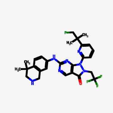 CC(C)(CF)c1cccc(-n2c3nc(Nc4ccc5c(c4)CNCC5(C)C)ncc3c(=O)n2CC(F)(F)F)n1